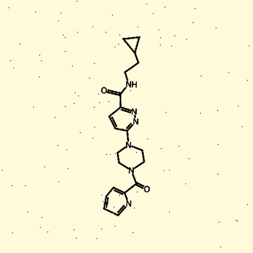 O=C(NCCC1CC1)c1ccc(N2CCN(C(=O)c3ccccn3)CC2)nn1